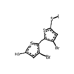 Sc1cc(Br)c(-c2sc(SI)cc2Br)s1